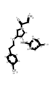 C=CC(=O)N1CC(OCCc2ccc(C(F)(F)F)cc2)[C@@H](Nc2ncc(F)cn2)C1